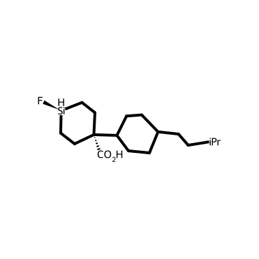 CC(C)CCC1CCC([C@]2(C(=O)O)CC[Si@H](F)CC2)CC1